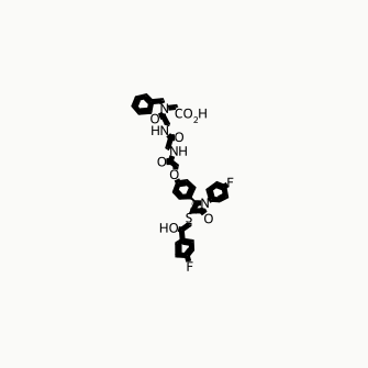 O=C(O)CN(Cc1ccccc1)C(=O)CNC(=O)CNC(=O)COc1ccc([C@@H]2[C@@H](SCC(O)c3ccc(F)cc3)C(=O)N2c2ccc(F)cc2)cc1